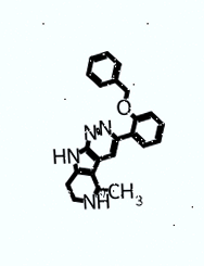 C[C@H]1NCCc2[nH]c3nnc(-c4ccccc4OCc4ccccc4)cc3c21